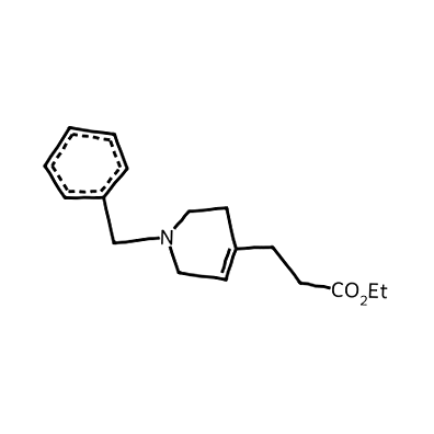 CCOC(=O)CCC1=CCN(Cc2ccccc2)CC1